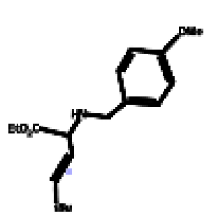 CCOC(=O)C(/C=C/C(C)(C)C)NCc1ccc(OC)cc1